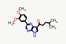 COc1ccc(-c2cnc3[nH]cc(C(=O)CCC(C)C)c3n2)cc1OC